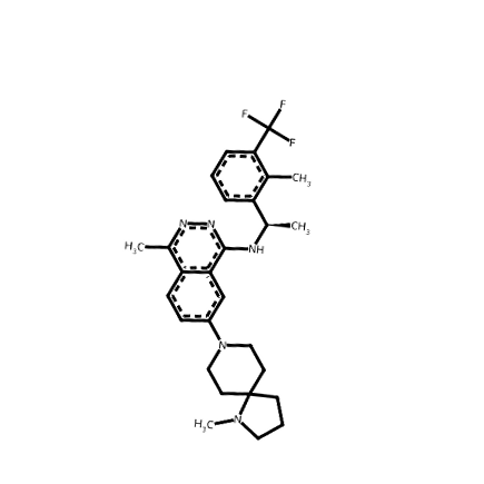 Cc1c([C@@H](C)Nc2nnc(C)c3ccc(N4CCC5(CCCN5C)CC4)cc23)cccc1C(F)(F)F